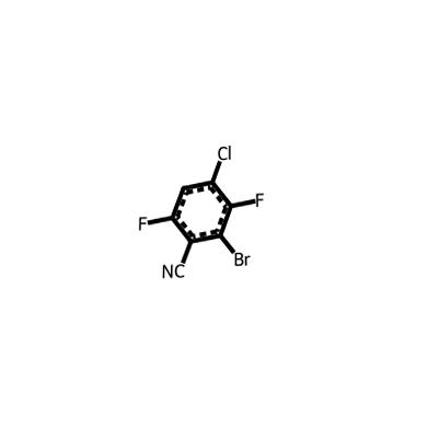 N#Cc1c(F)cc(Cl)c(F)c1Br